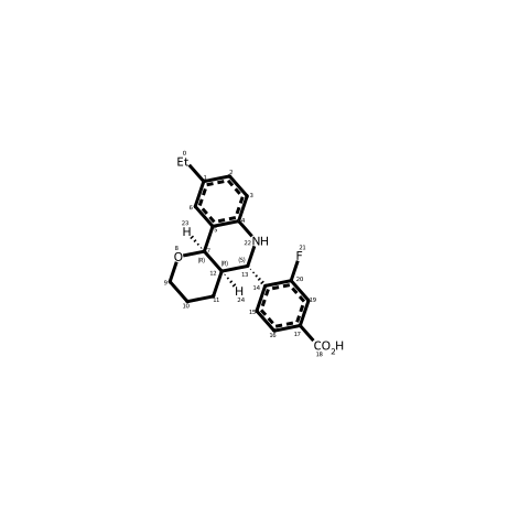 CCc1ccc2c(c1)[C@@H]1OCCC[C@@H]1[C@@H](c1ccc(C(=O)O)cc1F)N2